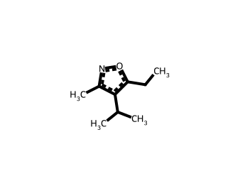 CCc1onc(C)c1C(C)C